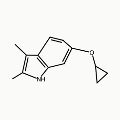 Cc1[nH]c2cc(OC3CC3)ccc2c1C